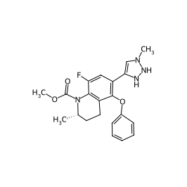 COC(=O)N1c2c(F)cc(C3=CN(C)NN3)c(Oc3ccccc3)c2CC[C@@H]1C